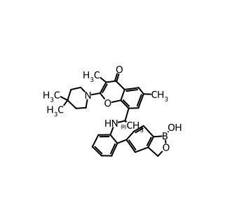 Cc1cc([C@@H](C)Nc2ccccc2-c2ccc3c(c2)COB3O)c2oc(N3CCC(C)(C)CC3)c(C)c(=O)c2c1